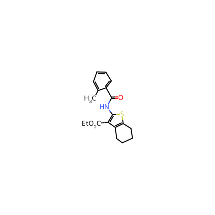 CCOC(=O)c1c(NC(=O)c2ccccc2C)sc2c1CCCC2